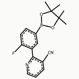 CC1(C)OB(c2ccc(F)c(-c3ncccc3C#N)c2)OC1(C)C